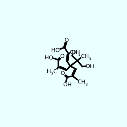 CC(=CC(C=C(C)C(=O)O)(C=C(C)C(=O)O)C(C)(CO)CO)C(=O)O